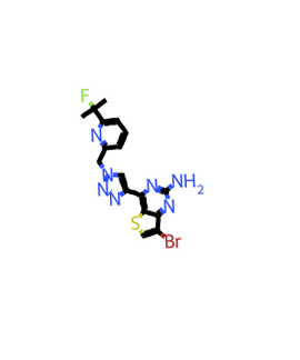 CC(C)(F)c1cccc(Cn2cc(-c3nc(N)nc4c(Br)csc34)nn2)n1